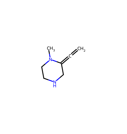 C=C=C1CNCCN1C